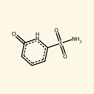 NS(=O)(=O)c1cccc(=O)[nH]1